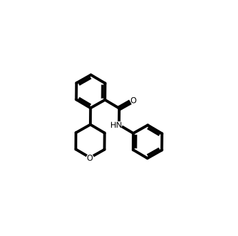 O=C(Nc1ccccc1)c1ccccc1C1CCOCC1